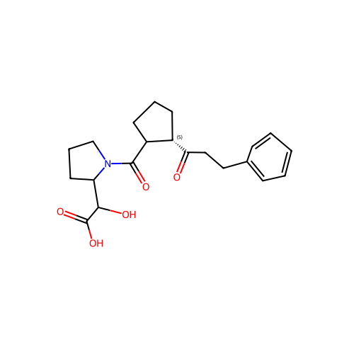 O=C(O)C(O)C1CCCN1C(=O)C1CCC[C@@H]1C(=O)CCc1ccccc1